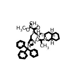 CON(C)C(=O)[C@H](Cc1cn(C(c2ccccc2)(c2ccccc2)c2ccccc2)cn1)NC[C@@H]1C[C@H]2CCCC[C@@H]2CN1C(C)=O